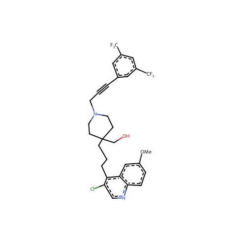 COc1ccc2ncc(Cl)c(CCCC3(CO)CCN(CC#Cc4cc(C(F)(F)F)cc(C(F)(F)F)c4)CC3)c2c1